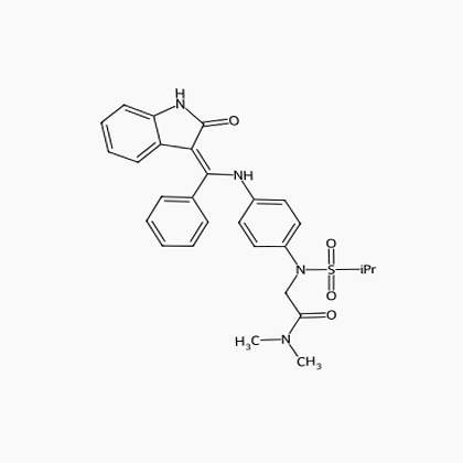 CC(C)S(=O)(=O)N(CC(=O)N(C)C)c1ccc(N/C(=C2\C(=O)Nc3ccccc32)c2ccccc2)cc1